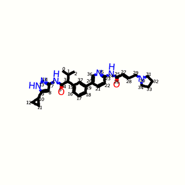 CC(C)C(C(=O)Nc1cc(C2CC2)[nH]n1)c1cccc(-c2ccc(NC(=O)/C=C/CN3CCCC3)nc2)c1